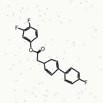 O=C(CC1C=CC(c2ccc(F)cc2)=CC1)Oc1ccc(F)c(F)c1